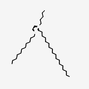 CCCCCCCCCCCCCCCCCc1n(CCCCC)cc[n+]1CCCCCCCCCCC